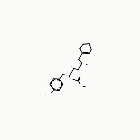 COc1ccc(C[C@H](NC(=O)OC(C)(C)C)[C@@H](O)C[C@@H](CC2=CCCCC2)C(=O)O)cc1